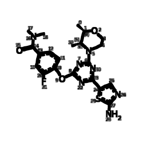 C[C@H]1OCCN(c2nc(Oc3ccc(C(=O)N(C)C)cc3F)nc(-c3cnc(N)s3)n2)[C@H]1C